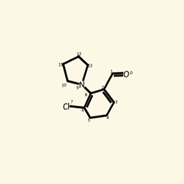 O=CC1=CCCC(Cl)=C1N1CCCC1